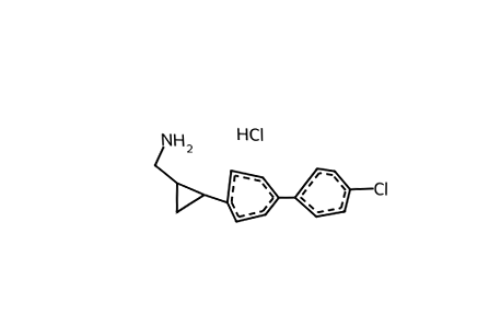 Cl.NCC1CC1c1ccc(-c2ccc(Cl)cc2)cc1